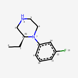 CC[C@H]1CNCCN1c1cccc(F)c1